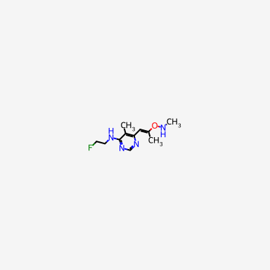 CNO/C(C)=C/c1ncnc(NCCF)c1C